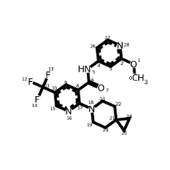 COc1cc(NC(=O)c2cc(C(F)(F)F)cnc2N2CCC3(CC2)CC3)ccn1